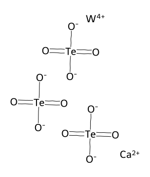 O=[Te](=O)([O-])[O-].O=[Te](=O)([O-])[O-].O=[Te](=O)([O-])[O-].[Ca+2].[W+4]